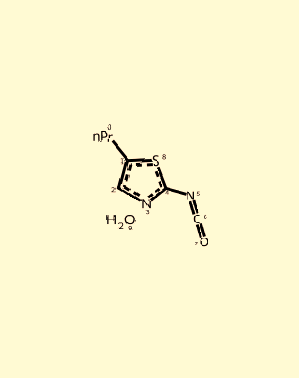 CCCc1cnc(N=C=O)s1.O